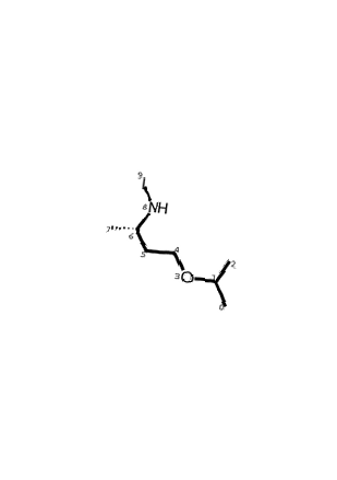 CC(C)OCC[C@H](C)NI